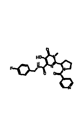 Cn1c(C2CCCN2C(=O)c2ccncc2)nc(C(=O)NCc2ccc(F)cc2)c(O)c1=O